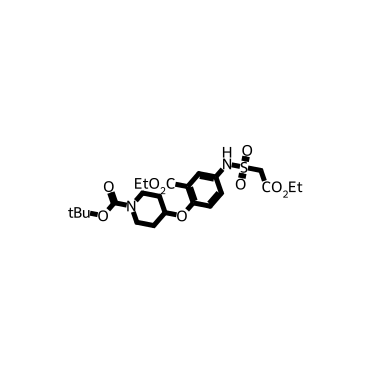 CCOC(=O)CS(=O)(=O)Nc1ccc(OC2CCN(C(=O)OC(C)(C)C)CC2)c(C(=O)OCC)c1